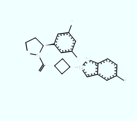 O=C([C@H]1C[C@@H](n2cc3cc(F)ccc3n2)C1)N1OCC[C@H]1c1cc(F)cc(F)c1